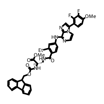 CCc1cc(Nc2nccn3c(-c4ccc(OC)c(F)c4F)cnc23)ccc1C(=O)NC[C@H](NC(=O)OCC1c2ccccc2-c2ccccc21)C(=O)OC